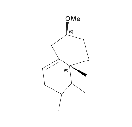 CO[C@H]1CC[C@@]2(C)C(=CCC(C)C2C)C1